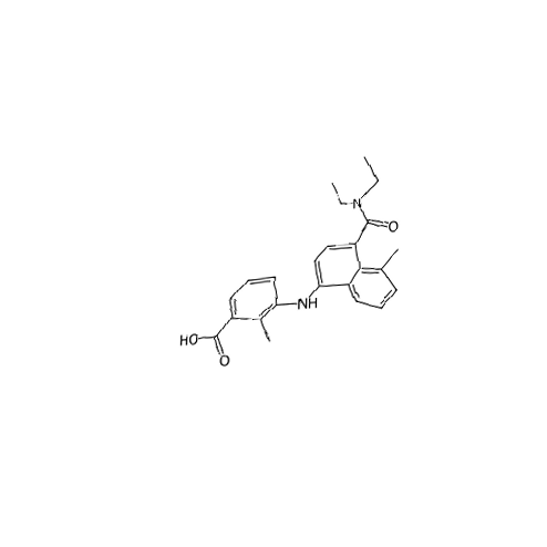 CCN(CC)C(=O)c1ccc(Nc2cccc(C(=O)O)c2C)c2cccc(C)c12